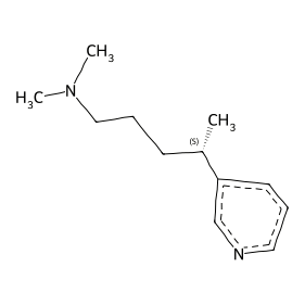 C[C@@H](CCCN(C)C)c1cccnc1